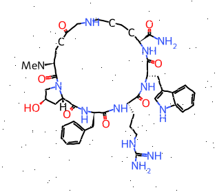 CN[C@H]1CCC(=O)CNCCCC[C@@H](C(N)=O)NC(=O)[C@H](Cc2c[nH]c3ccccc23)NC(=O)[C@H](CCCNC(=N)N)NC(=O)[C@@H](Cc2ccccc2)NC(=O)[C@@H]2C[C@@H](O)CN2C1=O